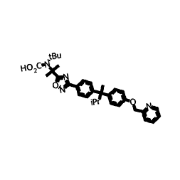 CC(C)C(C)(c1ccc(OCc2ccccn2)cc1)c1ccc(-c2noc(C(C)(C)N(C(=O)O)C(C)(C)C)n2)cc1